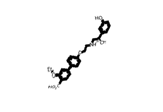 CCOc1cc(-c2ccc(OCCNC[C@H](O)c3cccc(O)c3)cc2)ccc1C(=O)O